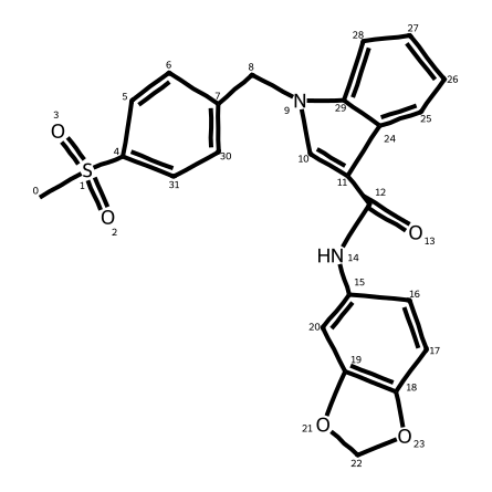 CS(=O)(=O)c1ccc(Cn2cc(C(=O)Nc3ccc4c(c3)OCO4)c3ccccc32)cc1